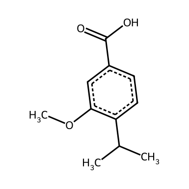 COc1cc(C(=O)O)ccc1C(C)C